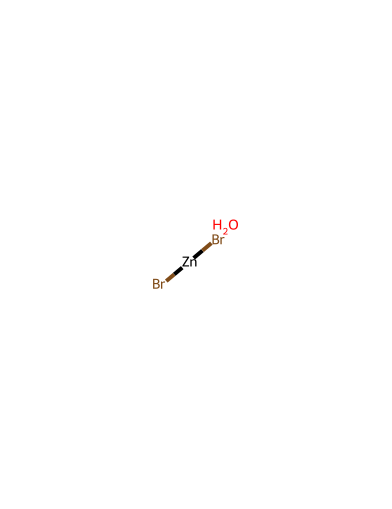 O.[Br][Zn][Br]